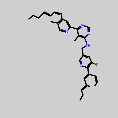 C\C=C/C(=C\C(C)=C\CC)c1ncc(CNc2ncnc(-c3cc(/C=C\C=C\CCC)c(C)cn3)c2C)cc1F